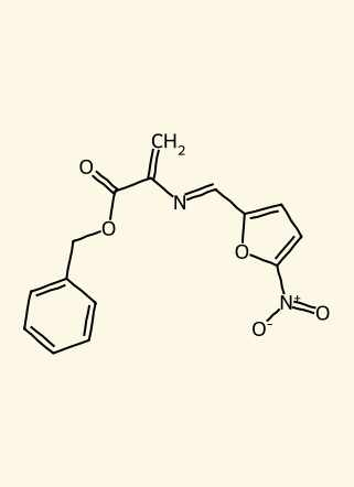 C=C(N=Cc1ccc([N+](=O)[O-])o1)C(=O)OCc1ccccc1